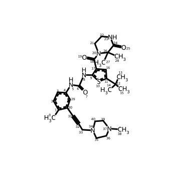 Cc1ccc(NC(=O)Nc2sc(C(C)(C)C)cc2C(=O)N2CCNC(=O)C2(C)C)cc1C#CCN1CCN(C)CC1